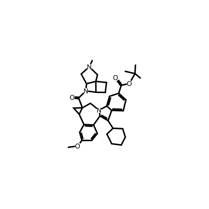 COc1ccc2c(c1)C1CC1(C(=O)N1C3CCC34CN(C)CC14)Cn1c-2c(C2CCCCC2)c2ccc(C(=O)OC(C)(C)C)cc21